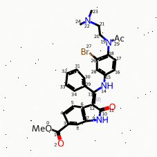 COC(=O)c1ccc2c(c1)NC(=O)/C2=C(\Nc1ccc(N(CCN(C)C)C(C)=O)c(Br)c1)c1ccccc1